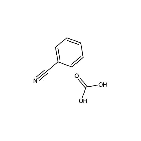 N#Cc1ccccc1.O=C(O)O